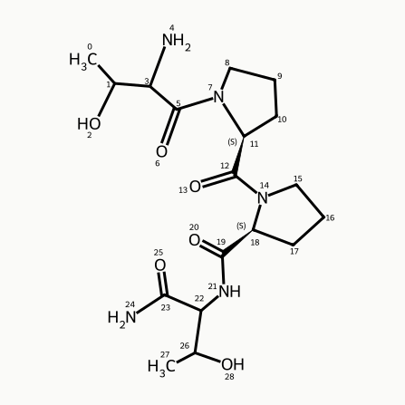 CC(O)C(N)C(=O)N1CCC[C@H]1C(=O)N1CCC[C@H]1C(=O)NC(C(N)=O)C(C)O